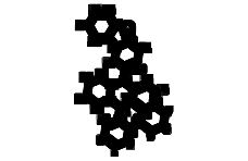 C1=CCC(C2CCCCC2)C(C2c3ccccc3C(C3=CCC4OC5C=CCCC5C4C3)C3CCCCC23)=C1